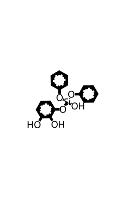 Oc1cccc(O[Si](O)(Oc2ccccc2)Oc2ccccc2)c1O